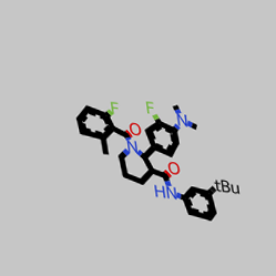 Cc1cccc(F)c1C(=O)N1CCCC(C(=O)Nc2cccc(C(C)(C)C)c2)C1c1ccc(N(C)C)c(F)c1